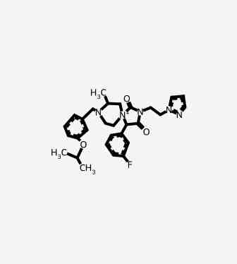 CC(C)Oc1cccc(CN2CC[N+]3(CC2C)C(=O)N(CCn2cccn2)C(=O)C3c2cccc(F)c2)c1